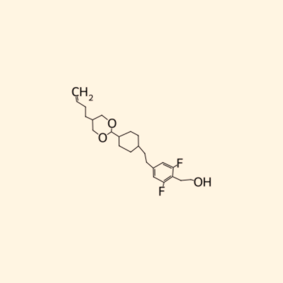 C=CCCC1COC(C2CCC(CCc3cc(F)c(CCO)c(F)c3)CC2)OC1